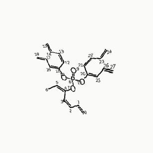 C=C/C=C\C(=C/C)OP(=O)(OC(/C=C\C=C)=C/C=C)OC(/C=C\C=C)=C/C=C